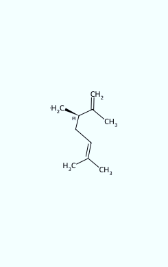 [CH2][C@H](CC=C(C)C)C(=C)C